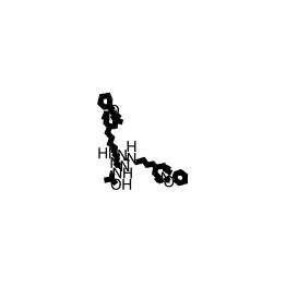 CC(O)CNc1nc(NCCCCC2CC(C)(C)N(OC3CCCCC3)C(C)(C)C2)nc(NCCCCC2CC(C)(C)N(OC3CCCCC3)C(C)(C)C2)n1